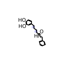 O=C(/C=C/C=C/c1ccc(O)c(O)c1)NCc1ccccc1